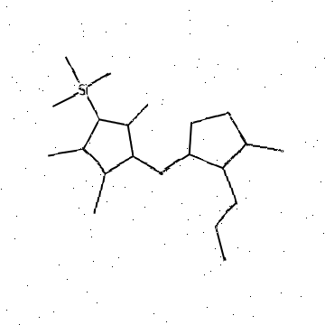 CCCC1C(C)CCC1CC1C(C)C(C)C([Si](C)(C)C)C1C